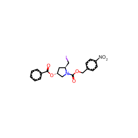 O=C(O[C@@H]1C[C@@H](CI)N(C(=O)OCc2ccc([N+](=O)[O-])cc2)C1)c1ccccc1